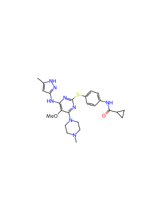 COc1c(Nc2cc(C)[nH]n2)nc(Sc2ccc(NC(=O)C3CC3)cc2)nc1N1CCN(C)CC1